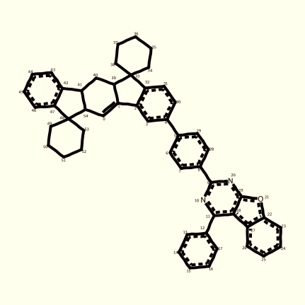 C1=C2c3cc(-c4ccc(-c5nc(-c6ccccc6)c6c(n5)oc5ccccc56)cc4)ccc3C3(CCCCC3)C2CC2c3ccccc3C3(CCCCC3)C12